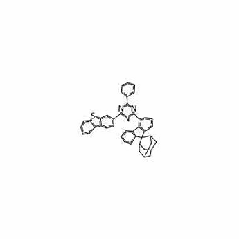 c1ccc(-c2nc(-c3ccc4c(c3)sc3ccccc34)nc(-c3cccc4c3-c3ccccc3C43C4CC5CC(C4)CC3C5)n2)cc1